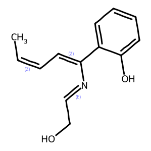 C\C=C/C=C(\N=C\CO)c1ccccc1O